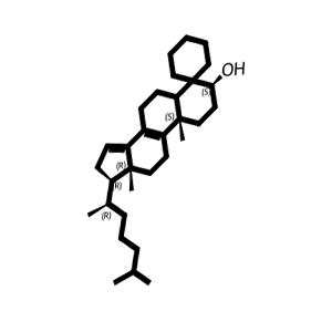 CC(C)CCC[C@@H](C)[C@H]1CC=C2C3=C(CC[C@@]21C)[C@@]1(C)CC[C@H](O)C2(CCCCC2)C1CC3